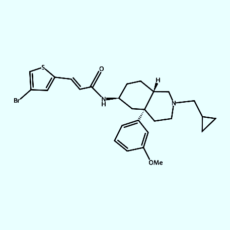 COc1cccc([C@@]23CCN(CC4CC4)C[C@H]2CC[C@H](NC(=O)C=Cc2cc(Br)cs2)C3)c1